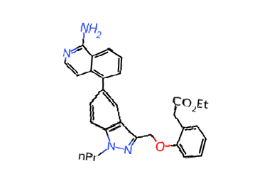 CCCn1nc(COc2ccccc2CC(=O)OCC)c2cc(-c3cccc4c(N)nccc34)ccc21